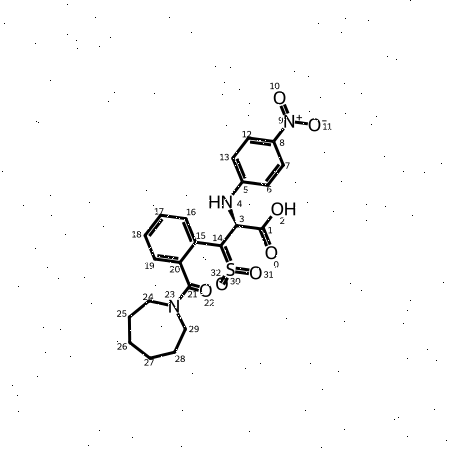 O=C(O)[C@H](Nc1ccc([N+](=O)[O-])cc1)C(c1ccccc1C(=O)N1CCCCCC1)=S(=O)=O